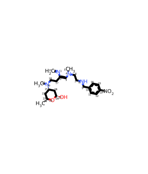 C=N/C(=C\N(C)CCNCc1ccc([N+](=O)[O-])cc1)CCN(C)[C@H]1C[C@@H](C)O[C@@H](O)C1